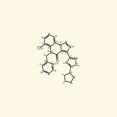 O=c1c2c(-c3noc(C4CCCC4)n3)ncn2c2cccc(Cl)c2n1Cc1ccccn1